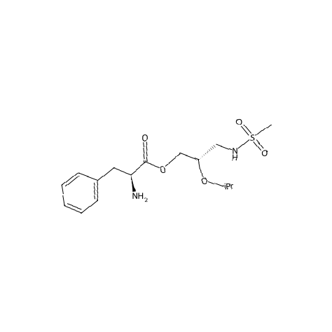 CC(C)O[C@@H](CNS(C)(=O)=O)COC(=O)[C@@H](N)Cc1ccccc1